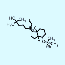 CC(C)(O)CCC[C@@H](CI)[C@H]1CC[C@H]2[C@@H](O[Si](C)(C)C(C)(C)C)CCCC12C